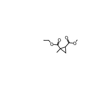 CCOC(=O)C1(C)CC1C(=O)OC